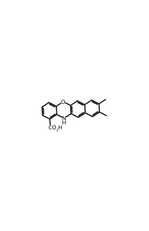 Cc1cc2cc3c(cc2cc1C)Oc1cccc(C(=O)O)c1N3